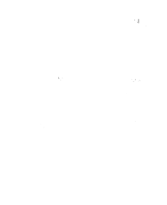 COc1cc(-c2ccc(N)cc2)c(OC)c(OS(C)(=O)=O)c1-c1ccc(OCc2ccccc2)c(OS(C)(=O)=O)c1